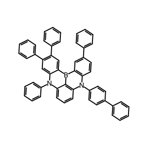 c1ccc(-c2ccc(N3c4ccc(-c5ccccc5)cc4B4c5cc(-c6ccccc6)c(-c6ccccc6)cc5N(c5ccccc5)c5cccc3c54)cc2)cc1